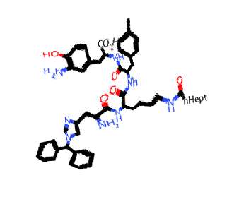 CCCCCCCC(=O)NCCCCC(NC(=O)C(N)Cc1cn(C(c2ccccc2)c2ccccc2)cn1)C(=O)NC(Cc1ccc(C)cc1)C(=O)NC(Cc1ccc(O)c(N)c1)C(=O)O